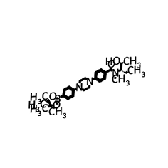 CC[C@@H]([C@H](C)O)N(C)C(=O)c1ccc(N2CCN(c3ccc(B4OC(C)(C)C(C)(C)O4)cc3)CC2)cc1